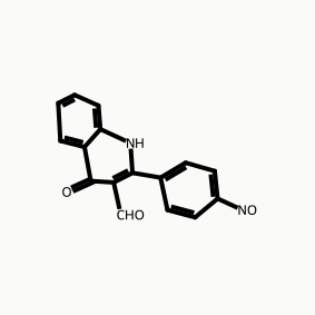 O=Cc1c(-c2ccc(N=O)cc2)[nH]c2ccccc2c1=O